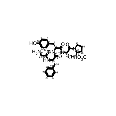 C[C@H](NC(=O)[C@H](Cc1ccc(O)cc1)NC(=O)[C@H](Cc1ccccc1)NC(=O)CN)C(=O)N1CCC[C@H]1C(=O)O